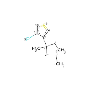 CCCC(C)(CC)c1cscc1F